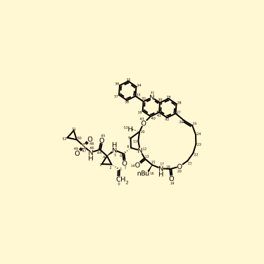 C=C[C@@H]1C[C@]1(NC(=O)[C@@H]1C[C@@H]2CN1C(=O)[C@H](CCCC)NC(=O)OCCCC/C=C/c1ccc3nc(-c4ccccc4)cc(c3c1)O2)C(=O)NS(=O)(=O)C1CC1